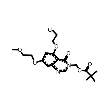 COCCOc1cc(OCCCl)c2c(=O)n(COC(=O)C(C)(C)C)cnc2c1